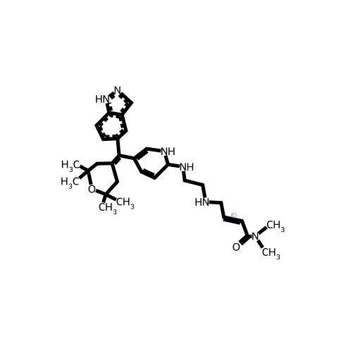 CN(C)C(=O)/C=C/CNCCNC1C=CC(C(=C2CC(C)(C)OC(C)(C)C2)c2ccc3[nH]ncc3c2)=CN1